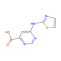 O=C(O)c1cc(Nc2nccs2)ncn1